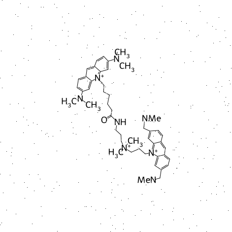 CNCc1ccc2cc3ccc(CNC)cc3[n+](CCC[N+](C)(C)CCCNC(=O)CCCCC[n+]3c4cc(N(C)C)ccc4cc4ccc(N(C)C)cc43)c2c1